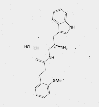 COc1ccccc1CCC(=O)NC[C@H](N)Cc1c[nH]c2ccccc12.Cl.Cl